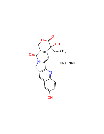 CCC1(O)C(=O)OCc2c1cc1n(c2=O)Cc2cc3cc(O)ccc3nc2-1.[NaH].[NaH]